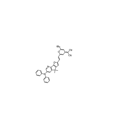 CC(C)(C)C1=CC(=C(C#N)C#N)C=C(/C=C/c2cc3c(o2)-c2ncc(N(c4ccccc4)c4ccccc4)cc2C3(C)C)O1